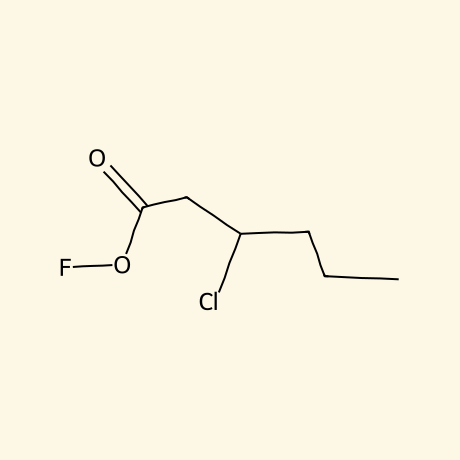 CCCC(Cl)CC(=O)OF